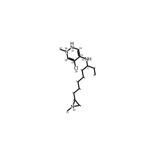 CCC(CCCCCC1CN1C)NC1=CNN(C)C=C1Cl